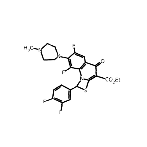 CCOC(=O)c1c2n(c3c(F)c(N4CCN(C)CC4)c(F)cc3c1=O)C(c1ccc(F)c(F)c1)S2